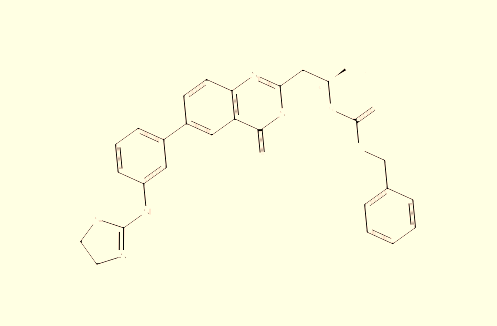 O=C(N[C@@H](Cc1nc2ccc(-c3cccc(NC4=NCCN4)c3)cc2c(=O)[nH]1)C(=O)O)OCc1ccccc1